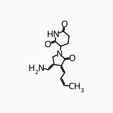 C\C=C/C=C1/C(=O)N(C2CCC(=O)NC2=O)C/C1=C\N